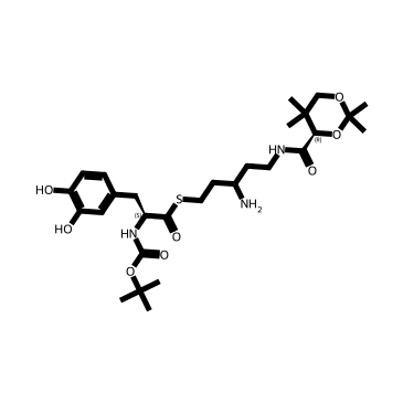 CC(C)(C)OC(=O)N[C@@H](Cc1ccc(O)c(O)c1)C(=O)SCCC(N)CCNC(=O)[C@@H]1OC(C)(C)OCC1(C)C